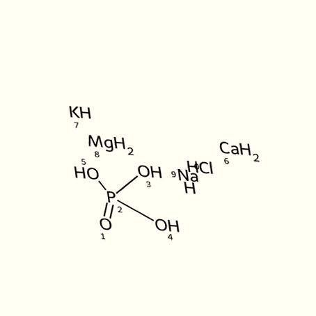 Cl.O=P(O)(O)O.[CaH2].[KH].[MgH2].[NaH]